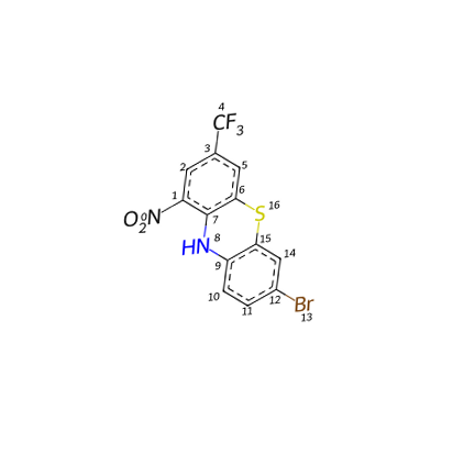 O=[N+]([O-])c1cc(C(F)(F)F)cc2c1Nc1ccc(Br)cc1S2